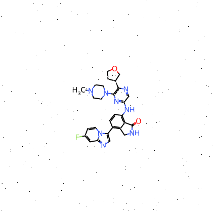 CN1CCN(c2nc(Nc3ccc(-c4cnc5cc(F)ccn45)c4c3C(=O)NC4)cnc2[C@H]2CCOC2)CC1